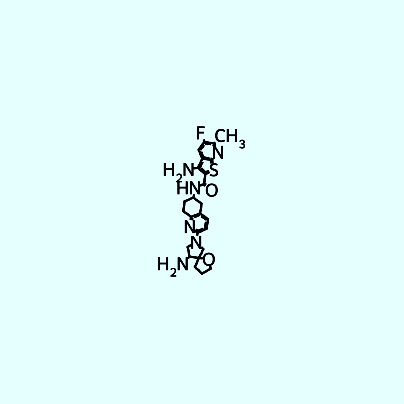 Cc1nc2sc(C(=O)NC3CCc4nc(N5CC(N)C6(CCCO6)C5)ccc4C3)c(N)c2cc1F